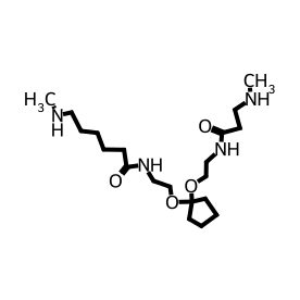 CNCCCCCC(=O)NCCOC1(OCCNC(=O)CCNC)CCCC1